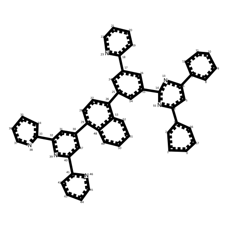 c1ccc(-c2cc(-c3ccccc3)nc(-c3cc(-c4ccccn4)cc(-c4ccc(-c5cc(-c6ccccn6)nc(-c6ccccn6)c5)c5ccccc45)c3)n2)cc1